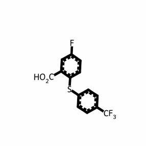 O=C(O)c1cc(F)ccc1Sc1ccc(C(F)(F)F)cc1